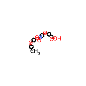 Cc1ccc(Oc2ccc(OC(=O)N3CCC(Oc4ccc(CC(=O)O)cc4)CC3)cc2)cc1